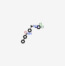 O=C(Nc1ccc([C@@H]2C[C@H]2NCc2ccc(Cl)c(Cl)c2)cc1)c1ccc(-c2ccccc2)cc1